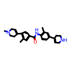 Cc1cc(C2=CCNCC2)ccc1NC(=O)c1ccc(C2=CCN(C)CC2)c(C)c1